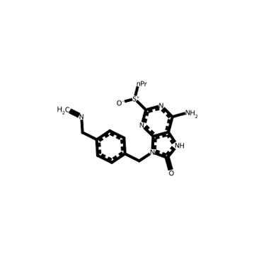 C=NCc1ccc(Cn2c(=O)[nH]c3c(N)nc([S+]([O-])CCC)nc32)cc1